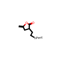 C=C1CC(CCCCCCC)C(=O)O1